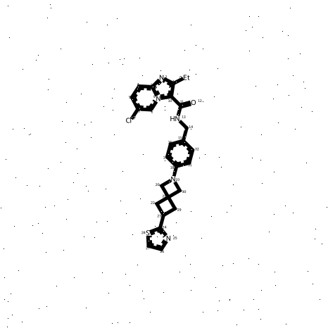 CCc1nc2ccc(Cl)cn2c1C(=O)NCc1ccc(N2CC3(CC(c4nccs4)C3)C2)cc1